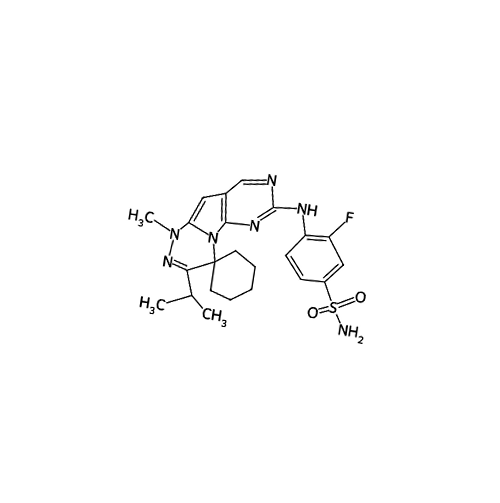 CC(C)C1=NN(C)c2cc3cnc(Nc4ccc(S(N)(=O)=O)cc4F)nc3n2C12CCCCC2